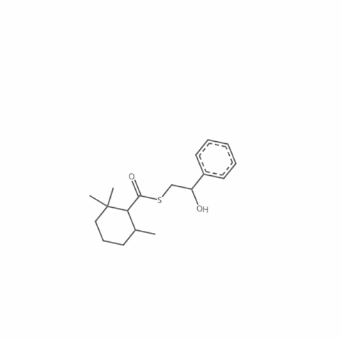 CC1CCCC(C)(C)C1C(=O)SCC(O)c1ccccc1